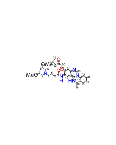 COCCN(CC=CC(=O)Nc1cc2c(NC(C)c3ccccc3)ncnc2cc1OCC1CCCO1)CCOC